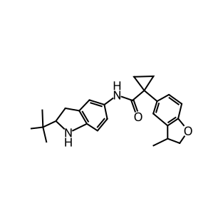 CC1COc2ccc(C3(C(=O)Nc4ccc5c(c4)CC(C(C)(C)C)N5)CC3)cc21